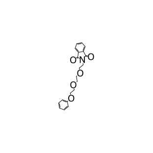 O=C1c2ccccc2C(=O)N1CCOCCOCCOc1ccccc1